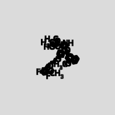 COc1c(F)cc(F)cc1COCCCOc1ccc([C@@H]2[C@@H](OCc3cc(OC)c4ccccc4c3)CNC[C@H]2OC(OC)C(C)O)cc1